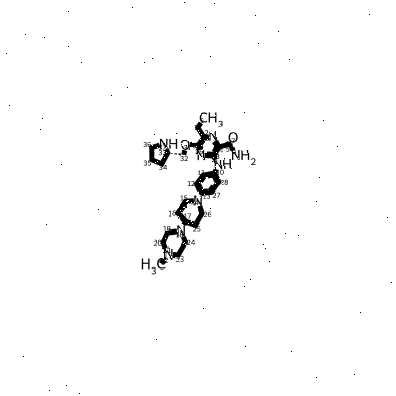 CCc1nc(C(N)=O)c(Nc2ccc(N3CCC(N4CCN(C)CC4)CC3)cc2)nc1OC[C@@H]1CCCN1